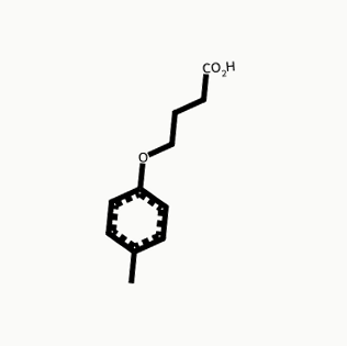 Cc1ccc(OCCCC(=O)O)cc1